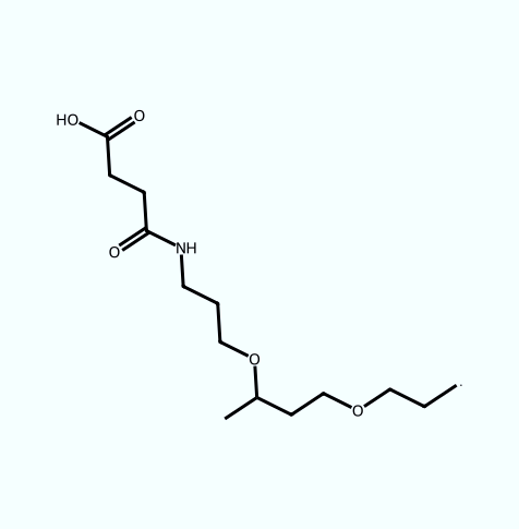 [CH2]CCOCCC(C)OCCCNC(=O)CCC(=O)O